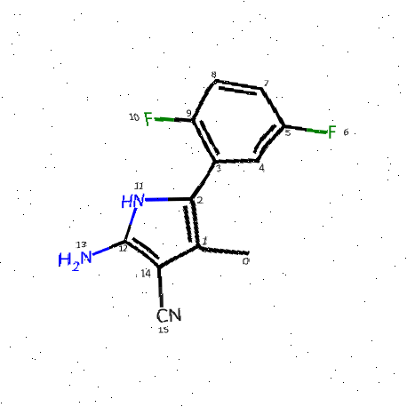 Cc1c(-c2cc(F)ccc2F)[nH]c(N)c1C#N